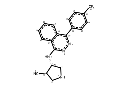 N#C[C@@H]1CNC[C@H]1Nc1nnc(-c2ccc(C(F)(F)F)cc2)c2ccccc12